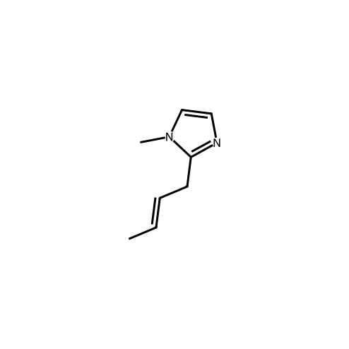 C/C=C/Cc1nccn1C